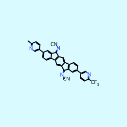 [C-]#[N+]/N=c1\c2cc(-c3ccc(C)nc3)ccc2c2cc3/c(=N/C#N)c4cc(-c5ccc(C(F)(F)F)nc5)ccc4c3cc12